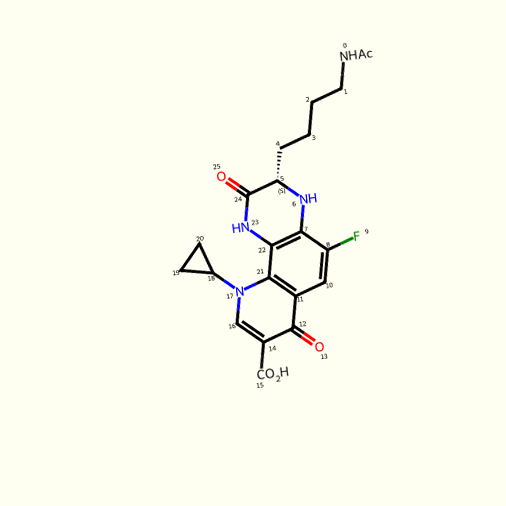 CC(=O)NCCCC[C@@H]1Nc2c(F)cc3c(=O)c(C(=O)O)cn(C4CC4)c3c2NC1=O